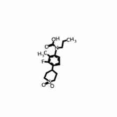 CCCN(C(=O)O)c1ccc(C2CCS(=O)(=O)CC2)c(F)c1C